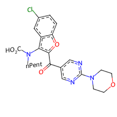 CCCCCN(C(=O)O)c1c(C(=O)c2cnc(N3CCOCC3)nc2)oc2ccc(Cl)cc12